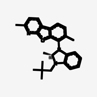 Cc1ccc2c(n1)oc1c(N3c4ccccc4N(CC(C)(C)C)[C@@H]3C)c(C)ccc12